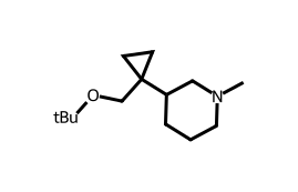 CN1CCCC(C2(COC(C)(C)C)CC2)C1